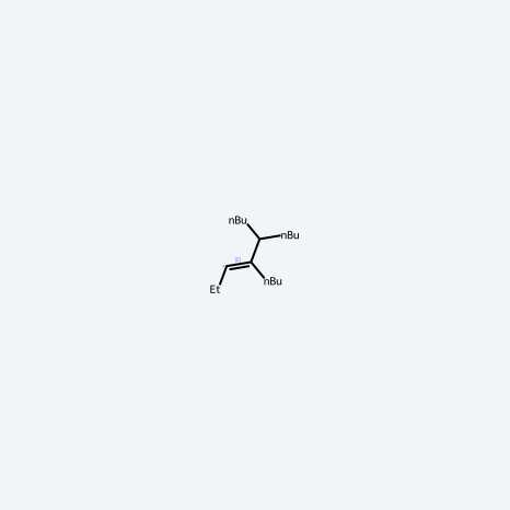 CC/[C]=C(\CCCC)C(CCCC)CCCC